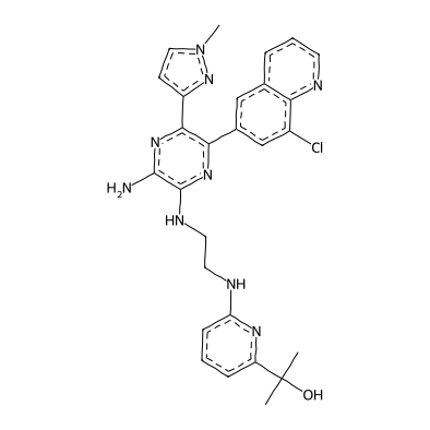 Cn1ccc(-c2nc(N)c(NCCNc3cccc(C(C)(C)O)n3)nc2-c2cc(Cl)c3ncccc3c2)n1